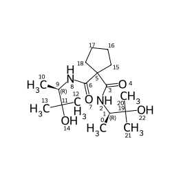 C[C@@H](NC(=O)C1(C(=O)N[C@H](C)C(C)(C)O)CCCC1)C(C)(C)O